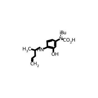 C=CCC(C)CNc1ccc(N(C(=O)O)[C@@H](C)CC)cc1O